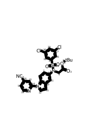 CC(C)(C)OC(=O)CN(c1ccc2c(ccn2-c2cc(C#N)ccn2)c1)S(=O)(=O)c1cc(Cl)cc(Cl)c1